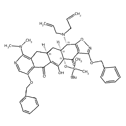 C=CCN(CC=C)[C@@H]1c2onc(OCc3ccccc3)c2C(=O)[C@@]2(O[Si](C)(C)C(C)(C)C)C(O)=C3C(=O)c4c(OCc5ccccc5)cnc(N(C)C)c4C[C@H]3C[C@@H]12